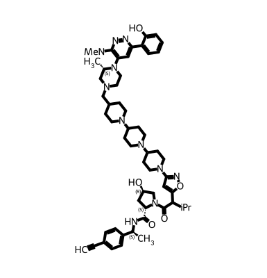 C#Cc1ccc([C@H](C)NC(=O)[C@@H]2C[C@@H](O)CN2C(=O)C(c2cc(N3CCC(N4CCC(N5CCC(CN6CCN(c7cc(-c8ccccc8O)nnc7NC)[C@@H](C)C6)CC5)CC4)CC3)no2)C(C)C)cc1